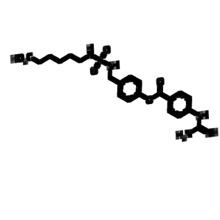 N=C(N)Nc1ccc(C(=O)Oc2ccc(CNS(=O)(=O)NCCCCCC(=O)O)cc2)cc1